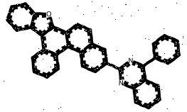 c1ccc(-c2nc(-c3ccc4c(ccc5c6oc7ccccc7c6c6ccccc6c45)c3)nc3ccccc23)cc1